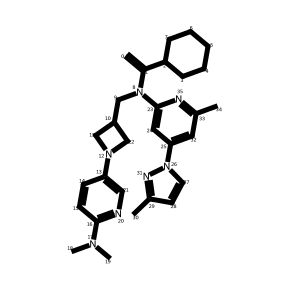 C=C(C1CCCCC1)N(CC1CN(c2ccc(N(C)C)nc2)C1)c1cc(-n2ccc(C)n2)cc(C)n1